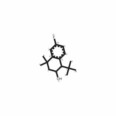 CC1(C)CC(O)C(C(C)(C)C)c2ccc(F)cc21